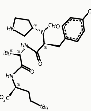 CC[C@H](C)[C@H](NC(=O)[C@H](Cc1ccc(O)cc1)N(C=O)[C@H]1CCNC1)C(=O)N[C@@H](CCC(C)(C)C)C(=O)O